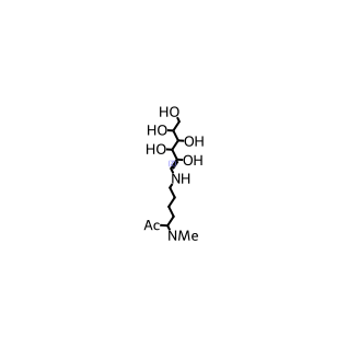 CNC(CCCCN/C=C(\O)C(O)C(O)C(O)CO)C(C)=O